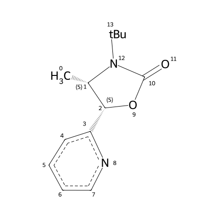 C[C@H]1[C@@H](c2ccccn2)OC(=O)N1C(C)(C)C